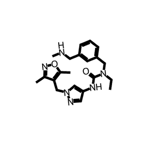 CCN(Cc1cccc(CNC)c1)C(=O)Nc1cnn(Cc2c(C)noc2C)c1